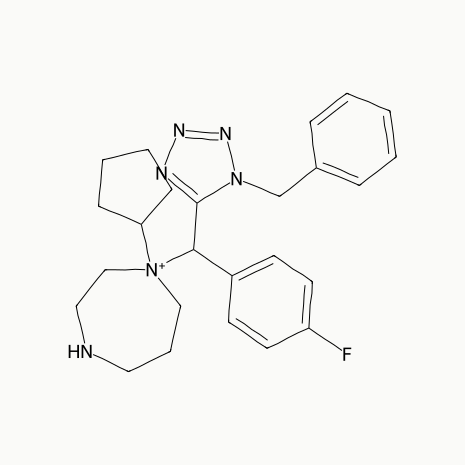 Fc1ccc(C(c2nnnn2Cc2ccccc2)[N+]2(C3CCCC3)CCCNCC2)cc1